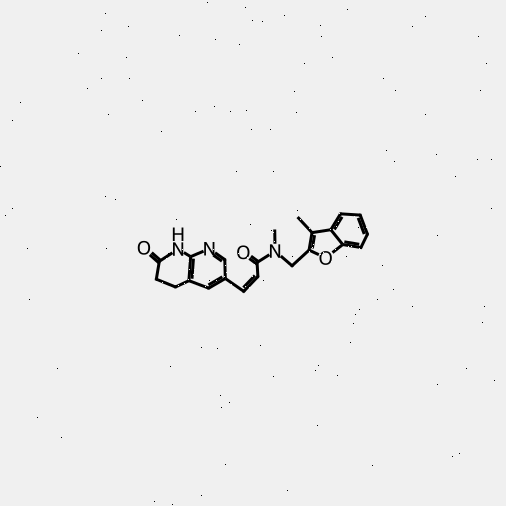 Cc1c(CN(C)C(=O)/C=C\c2cnc3c(c2)CCC(=O)N3)oc2ccccc12